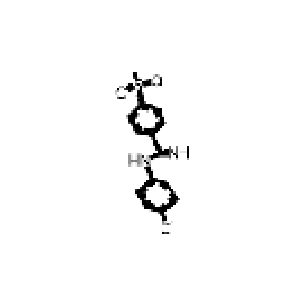 CS(=O)(=O)c1ccc(C(=N)Nc2ccc(Cl)cc2)cc1